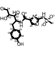 CS(=O)(=O)Nc1nc(C(=O)NC(Cc2ccc(O)cc2)C(O)C(O)CC#N)co1